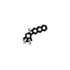 c1ccc2cc3cc4c5c(sc4cc3cc2c1)Cc1csc2scc-5c12